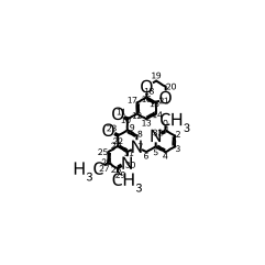 Cc1cccc(Cn2cc(C(=O)c3ccc4c(c3)OCCO4)c(=O)c3cc(C)c(C)nc32)n1